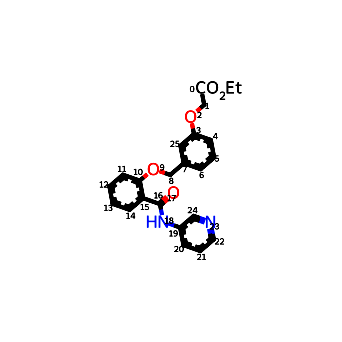 CCOC(=O)COc1cccc(COc2ccccc2C(=O)Nc2cccnc2)c1